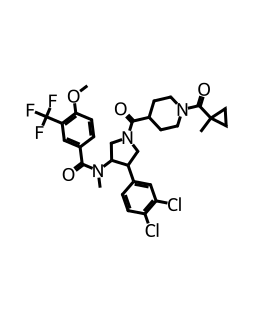 COc1ccc(C(=O)N(C)C2CN(C(=O)C3CCN(C(=O)C4(C)CC4)CC3)CC2c2ccc(Cl)c(Cl)c2)cc1C(F)(F)F